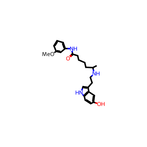 COc1cccc(NC(=O)CCCCC(C)NCCc2c[nH]c3ccc(O)cc23)c1